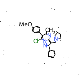 COc1ccc(-c2c(C)nc3c(CN4CCCC4)c(-c4ccccc4)nn3c2Cl)cc1